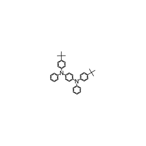 CC(C)(C)c1ccc(N(c2ccccc2)c2ccc(N(c3ccccc3)c3ccc(C(C)(C)C)cc3)cc2)cc1